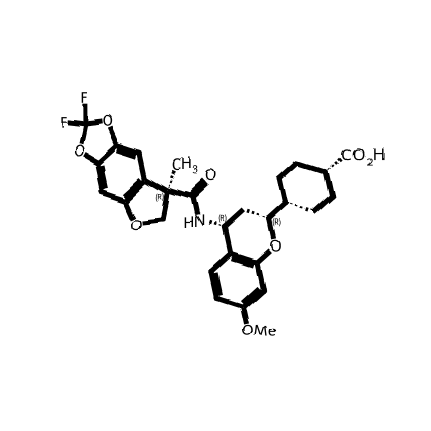 COc1ccc2c(c1)O[C@@H]([C@H]1CC[C@@H](C(=O)O)CC1)C[C@H]2NC(=O)[C@@]1(C)COc2cc3c(cc21)OC(F)(F)O3